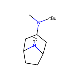 CCN1C2CCC1CC(N(C)C(C)(C)C)C2